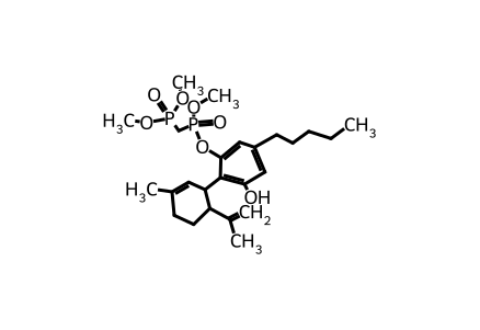 C=C(C)C1CCC(C)=CC1c1c(O)cc(CCCCC)cc1OP(=O)(CP(=O)(OC)OC)OC